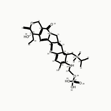 C=C1OCc2c(cc3n(c2=O)Cc2cc4c(C[N+](C)(C)C(C)C)c(NCOP(=O)(O)O)c(F)cc4nc2-3)[C@@]1(O)CC